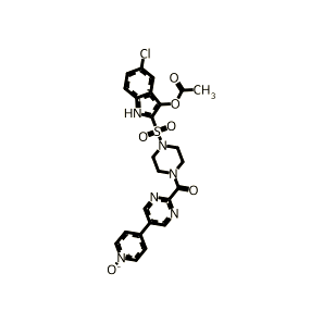 CC(=O)Oc1c(S(=O)(=O)N2CCN(C(=O)c3ncc(-c4cc[n+]([O-])cc4)cn3)CC2)[nH]c2ccc(Cl)cc12